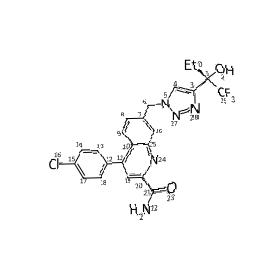 CC[C@](O)(c1cn(Cc2ccc3c(-c4ccc(Cl)cc4)cc(C(N)=O)nc3c2)nn1)C(F)(F)F